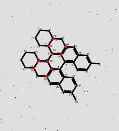 Cc1ccc2c(-c3c(P(C4CCCCC4)C4CCCCC4)ccc4cc(C)ccc34)c(P(C3CCCCC3)C3CCCCC3)ccc2c1